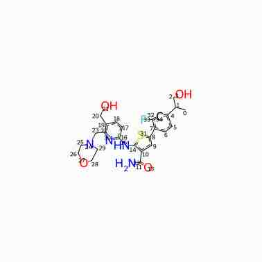 CC(CO)c1ccc(-c2cc(C(N)=O)c(Nc3ccc(CO)c(CN4CCOCC4)n3)s2)c(F)c1